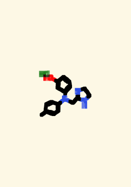 Cc1ccc(N(CC2=NCCN2)c2cccc(O)c2)cc1.Cl